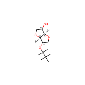 CC(C)(C)[Si](C)(C)O[C@H]1CO[C@H]2[C@@H]1OC[C@H]2O